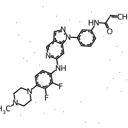 C=CC(=O)Nc1cccc(-n2ncc3cnc(Nc4ccc(N5CCN(C)CC5)c(F)c4F)cc32)c1